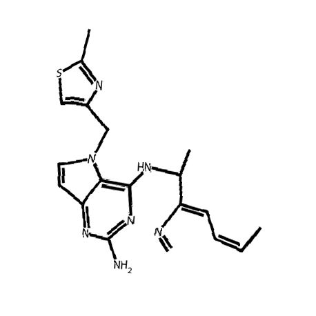 C=N/C(=C\C=C/C)C(C)Nc1nc(N)nc2ccn(Cc3csc(C)n3)c12